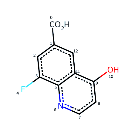 O=C(O)c1cc(F)c2nccc(O)c2c1